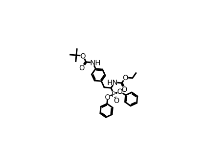 CCOC(=O)NC(Cc1ccc(NC(=O)OC(C)(C)C)cc1)P(=O)(Oc1ccccc1)Oc1ccccc1